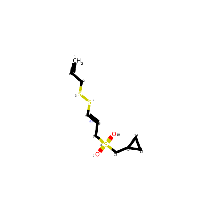 C=CCSS/C=C/CS(=O)(=O)CC1CC1